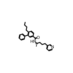 CCCCc1ccc(C(=O)N[C@H](C)CCCc2cccnc2)cc1-c1ccccc1